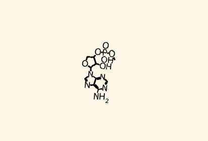 COP(=O)(O)OC1COC(n2cnc3c(N)ncnc32)C1O